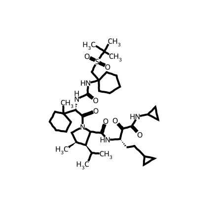 CC(C)[C@@H]1C(C(=O)N[C@@H](CCC2CC2)C(=O)C(=O)NC2CC2)N(C(=O)[C@@H](NC(=O)NC2(CS(=O)(=O)C(C)(C)C)CCCCC2)C2(C)CCCCC2)C[C@@H]1C